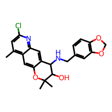 Cc1cc(Cl)nc2cc3c(cc12)OC(C)(C)C(O)C3NCc1ccc2c(c1)OCO2